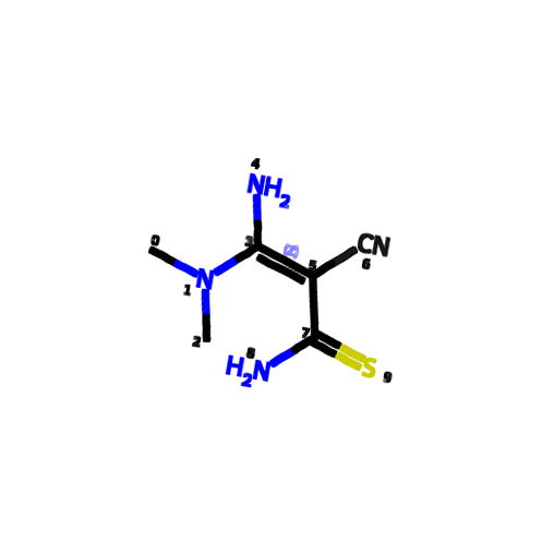 CN(C)/C(N)=C(/C#N)C(N)=S